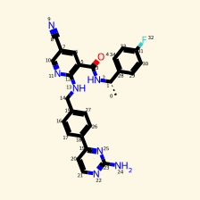 C[C@H](NC(=O)c1cc(C#N)cnc1NCc1ccc(-c2ccnc(N)n2)cc1)c1ccc(F)cc1